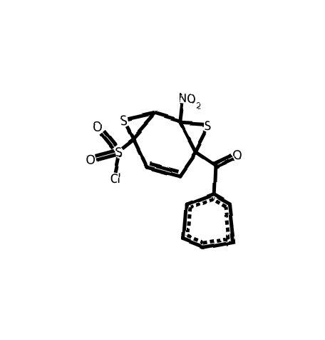 O=C(c1ccccc1)C12C=CC3(S(=O)(=O)Cl)SC3C1([N+](=O)[O-])S2